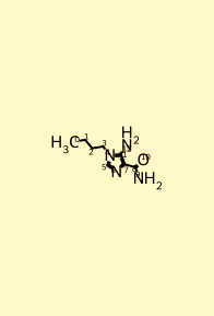 CCCCn1cnc(C(N)=O)c1N